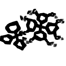 FC(F)(F)c1cc([B-](c2cc(C(F)(F)F)cc(C(F)(F)F)c2)(c2cc(C(F)(F)F)cc(C(F)(F)F)c2)c2cc(C(F)(F)F)cc(C(F)(F)F)c2)cc(C(F)(F)F)c1.[CH2+]C(c1ccccc1)(c1ccccc1)c1ccccc1